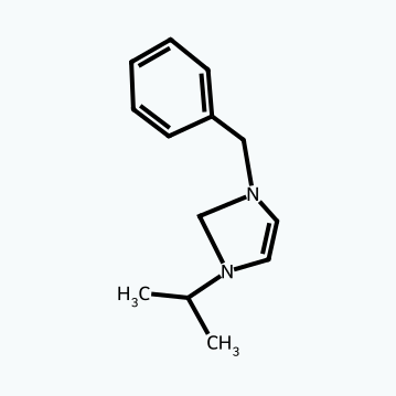 CC(C)N1C=CN(Cc2ccccc2)C1